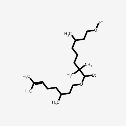 CCC(OCCC(C)CCC=C(C)C)C(C)(C)CCCC(C)CCOC(C)C